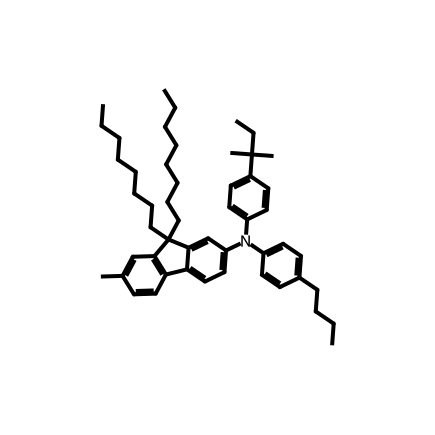 CCCCCCCCC1(CCCCCCCC)c2cc(C)ccc2-c2ccc(N(c3ccc(CCCC)cc3)c3ccc(C(C)(C)CC)cc3)cc21